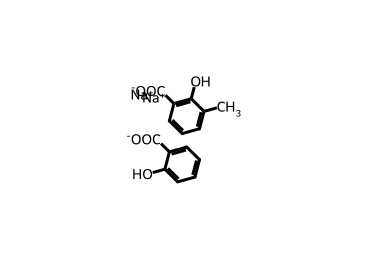 Cc1cccc(C(=O)[O-])c1O.O=C([O-])c1ccccc1O.[Na+].[Na+]